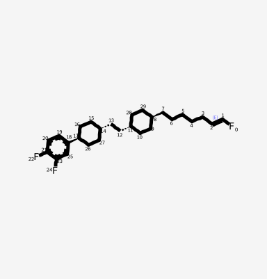 F/C=C/CCCCC[C@H]1CC[C@H](CC[C@H]2CC[C@H](c3ccc(F)c(F)c3)CC2)CC1